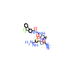 C[C@@H](NC(=O)[C@H](CC1(COCCN=[N+]=[N-])CC1)NC(=O)CNC(=O)c1ccc2c(c1)-c1ccccc1C2(F)F)c1cc(C(=N)N)cs1